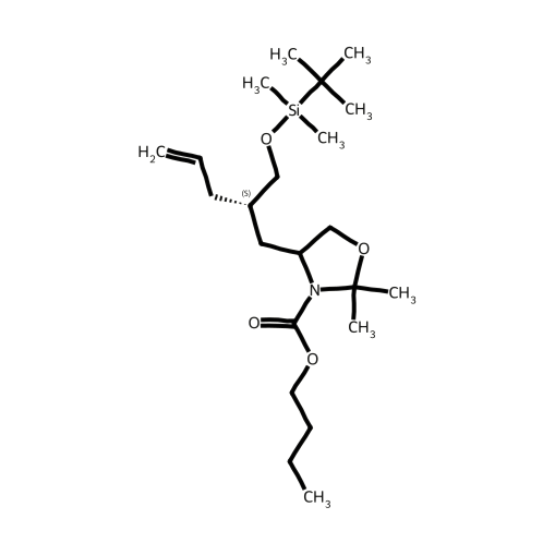 C=CC[C@H](CO[Si](C)(C)C(C)(C)C)CC1COC(C)(C)N1C(=O)OCCCC